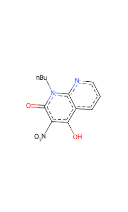 CCCCn1c(=O)c([N+](=O)[O-])c(O)c2cccnc21